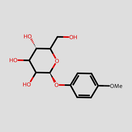 COc1ccc(O[C@@H]2OC(CO)[C@@H](O)C(O)C2O)cc1